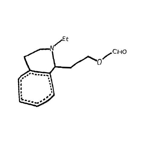 CCN1CCc2ccccc2C1CCOC=O